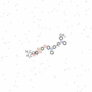 CCC(C)(C)Oc1ccc(S(=O)(=O)c2ccc(Oc3ccc(N(c4ccccc4)c4ccc(-c5ccc(N(c6ccccc6)c6ccc(C)cc6)cc5)cc4)cc3)cc2)cc1